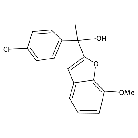 COc1cccc2cc(C(C)(O)c3ccc(Cl)cc3)oc12